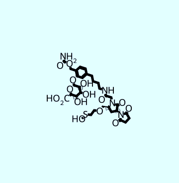 NC(=O)OCc1ccc(CCCCNC(=O)CN2C(=O)[C@@H](N3C(=O)CCC3=O)C[C@H]2COCCSO)cc1OC1OC(C(=O)O)[C@@H](O)C(O)[C@H]1O